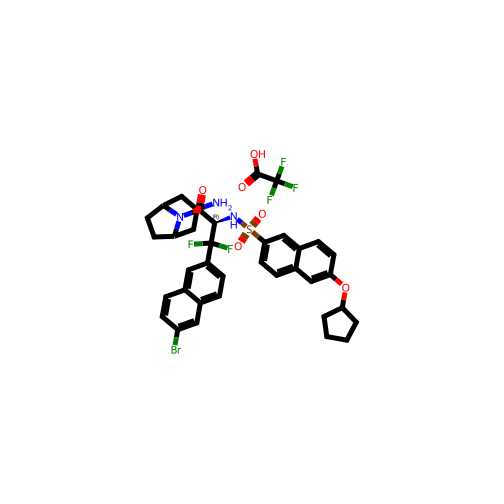 NC1CC2CCC(C1)N2C(=O)[C@@H](NS(=O)(=O)c1ccc2cc(OC3CCCC3)ccc2c1)C(F)(F)c1ccc2cc(Br)ccc2c1.O=C(O)C(F)(F)F